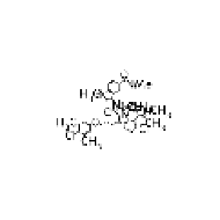 CNC(=O)c1ccc2c(c1)c(N1C[C@@H](C)n3c(c(CCCOc4cc(C)c(Cl)c(C)c4)c4ccc(Cl)c(-c5c(C)nn(C)c5C)c43)C1=O)cn2C